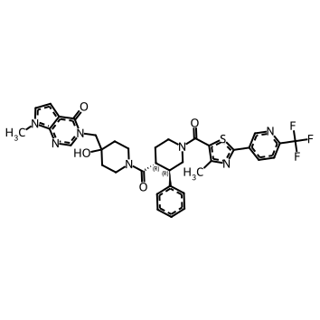 Cc1nc(-c2ccc(C(F)(F)F)nc2)sc1C(=O)N1CC[C@@H](C(=O)N2CCC(O)(Cn3cnc4c(ccn4C)c3=O)CC2)[C@H](c2ccccc2)C1